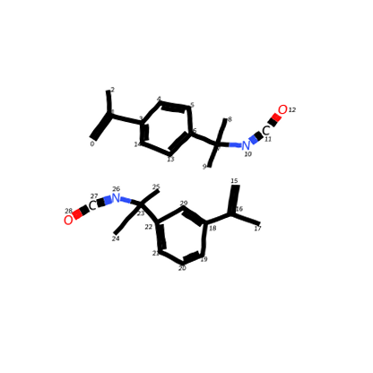 C=C(C)c1ccc(C(C)(C)N=C=O)cc1.C=C(C)c1cccc(C(C)(C)N=C=O)c1